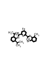 CC(=Nc1c(C)cccc1Br)c1cccc(C(C)=Nc2c(C(C)C)cccc2C(C)C)n1.[Fe]